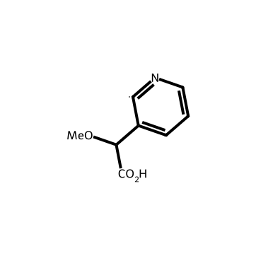 COC(C(=O)O)c1[c]nccc1